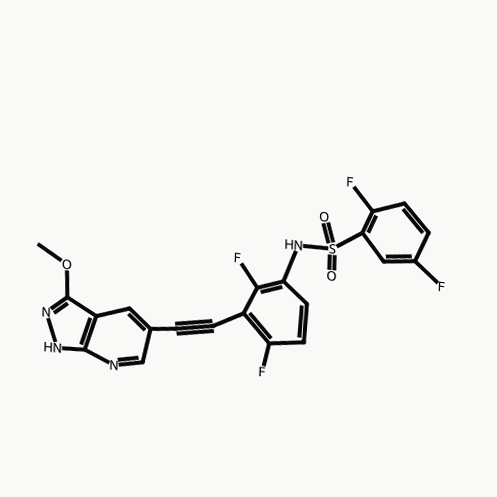 COc1n[nH]c2ncc(C#Cc3c(F)ccc(NS(=O)(=O)c4cc(F)ccc4F)c3F)cc12